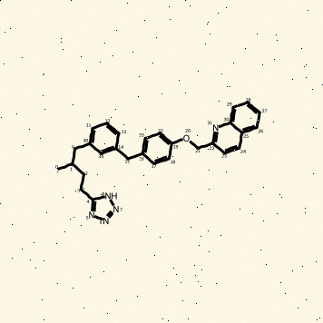 CC(CCc1nnn[nH]1)Cc1cccc(Cc2ccc(OCc3ccc4ccccc4n3)cc2)c1